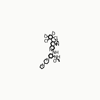 C=CC(=O)Nc1cc(N2CCC(N3CCCC3)CC2)ccc1Nc1cc2c(cn1)cc(-c1c(Cl)c(OC)cc(OC)c1Cl)c1ncnn12